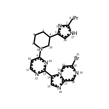 CC(C)c1nc(C2CCCN(c3ccnc(-c4cnc5cnc(Br)cn45)n3)C2)c[nH]1